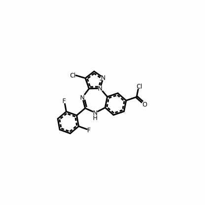 O=C(Cl)c1ccc2c(c1)-n1ncc(Cl)c1N=C(c1c(F)cccc1F)N2